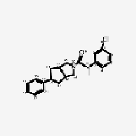 O=C(Nc1cccc(Cl)c1)N1CC2CC(c3ccccc3)CC2C1